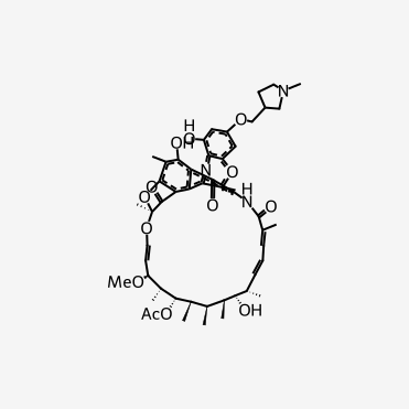 CO[C@H]1/C=C/O[C@@]2(C)Oc3c(C)c(O)c4c(=O)c(c5oc6cc(OCC7CCN(C)C7)cc(O)c6nc-5c4c3C2=O)NC(=O)/C(C)=C\C=C\[C@H](C)[C@H](O)[C@@H](C)[C@@H](C)[C@@H](C)[C@H](OC(C)=O)[C@@H]1C